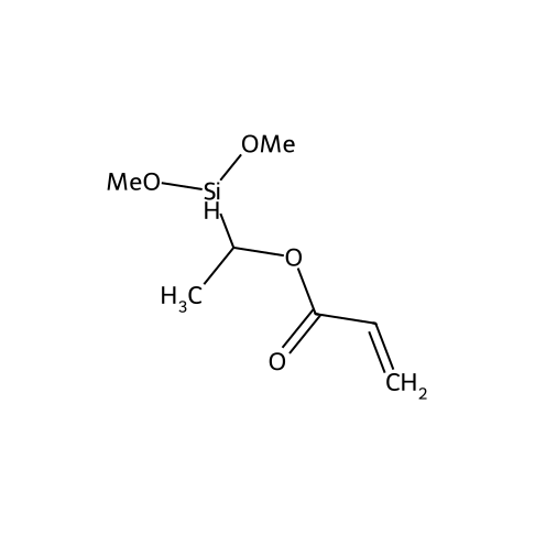 C=CC(=O)OC(C)[SiH](OC)OC